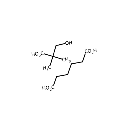 CC(C)(CO)C(=O)O.O=C(O)CCCCC(=O)O